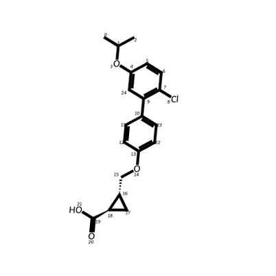 CC(C)Oc1ccc(Cl)c(-c2ccc(OC[C@@H]3C[C@H]3C(=O)O)cc2)c1